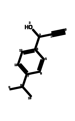 C#CC(O)c1ccc(C(C)C)cc1